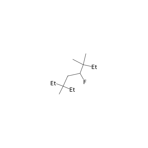 CCC(C)(CC)CC(F)C(C)(C)CC